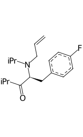 C=CCN(C(C)C)[C@@H](Cc1ccc(F)cc1)C(=O)C(C)C